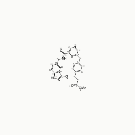 COC(=O)CCc1ccc(Cc2cncc(C(=O)NCc3ccc4[nH]cc(Cl)c4c3)c2)cc1